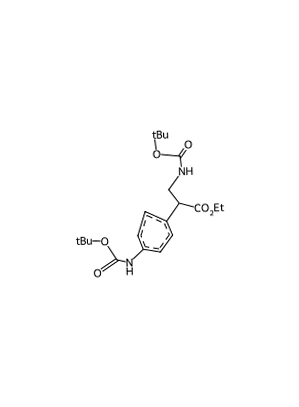 CCOC(=O)C(CNC(=O)OC(C)(C)C)c1ccc(NC(=O)OC(C)(C)C)cc1